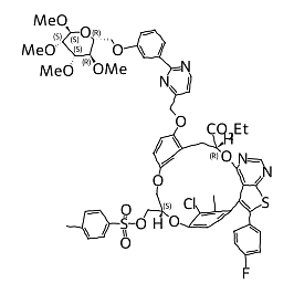 CCOC(=O)[C@H]1Cc2cc(ccc2OCc2ccnc(-c3cccc(OC[C@H]4O[C@H](OC)[C@@H](OC)[C@@H](OC)[C@@H]4OC)c3)n2)OC[C@@H](COS(=O)(=O)c2ccc(C)cc2)Oc2ccc(c(C)c2Cl)-c2c(-c3ccc(F)cc3)sc3ncnc(c23)O1